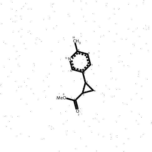 COC(=O)C1CC1c1ccc(C)nc1